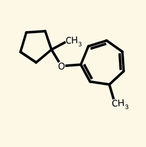 CC1C=CC=CC(OC2(C)CCCC2)=C1